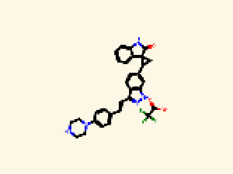 O=C(O)C(F)(F)F.O=C1Nc2ccccc2C12CC2c1ccc2c(/C=C/c3ccc(N4CCNCC4)cc3)n[nH]c2c1